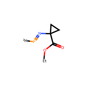 [2H]/P=N/C1(C(=O)OCC)CC1